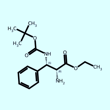 CCOC(=O)[C@H](N)[C@@H](NC(=O)OC(C)(C)C)c1ccccc1